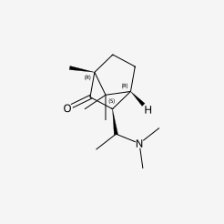 CC([C@H]1C(=O)[C@]2(C)CC[C@H]1C2(C)C)N(C)C